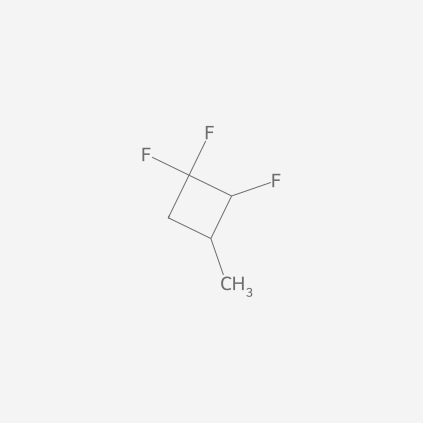 CC1CC(F)(F)C1F